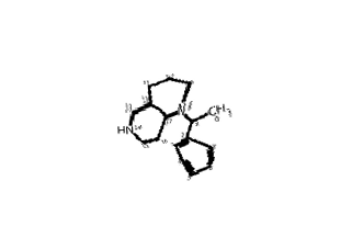 CC(c1ccccc1)N1CCCC2CNCCC21